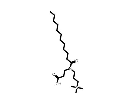 CCCCCCCCCCCC(=O)N(CCC[N+](C)(C)C)CCC(=O)O